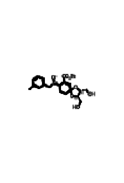 CCOC(=O)C1=CC2(CCC1[S+]([O-])Cc1cccc(C)c1)O[C@H](CO)[C@@H](CO)O2